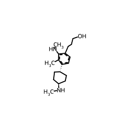 CNc1c(CCCO)ccc([C@H]2CC[C@H](NC)CC2)c1C